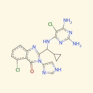 Nc1nc(N)c(Cl)c(NC(c2nc3cccc(Cl)c3c(=O)n2-c2c[nH]cn2)C2CC2)n1